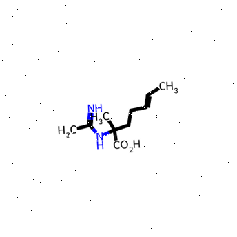 CC=CCCC(C)(NC(C)=N)C(=O)O